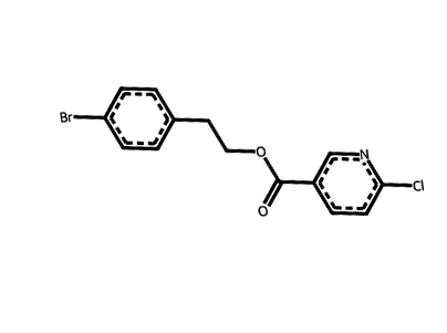 O=C(OCCc1ccc(Br)cc1)c1ccc(Cl)nc1